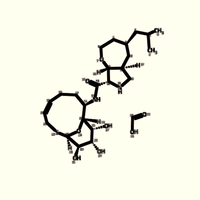 CC(C)C[C@@H]1CCO[C@@H]2[C@H](CN[C@@H]2C(=O)N[C@@H]2CCC=CCS[C@H]3O[C@H]2[C@H](O)[C@H](O)[C@H]3O)C1.O=CO